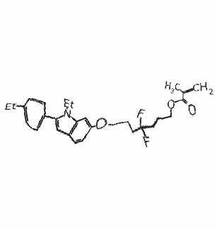 C=C(C)C(=O)OCCCC(F)(F)CCCOc1ccc2cc(-c3ccc(CC)cc3)n(CC)c2c1